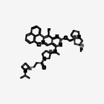 CC(C)N1CC[C@@H]1CCC(=O)N1CC[C@@H](N(C)c2nc(OC[C@@]34CCCN3C[C@H](F)C4)nc3c(F)c(-c4cccc5cccc(Cl)c45)ncc23)C1